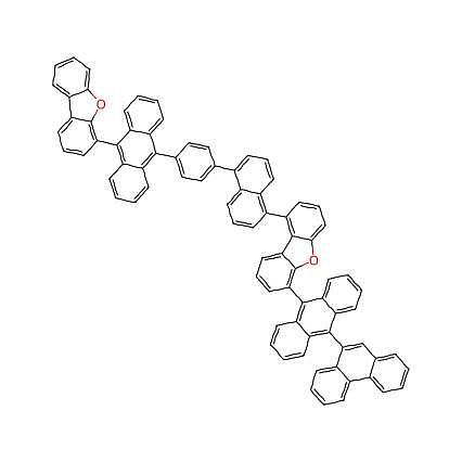 c1ccc2c(c1)cc(-c1c3ccccc3c(-c3cccc4c3oc3cccc(-c5cccc6c(-c7ccc(-c8c9ccccc9c(-c9cccc%10c9oc9ccccc9%10)c9ccccc89)cc7)cccc56)c34)c3ccccc13)c1ccccc12